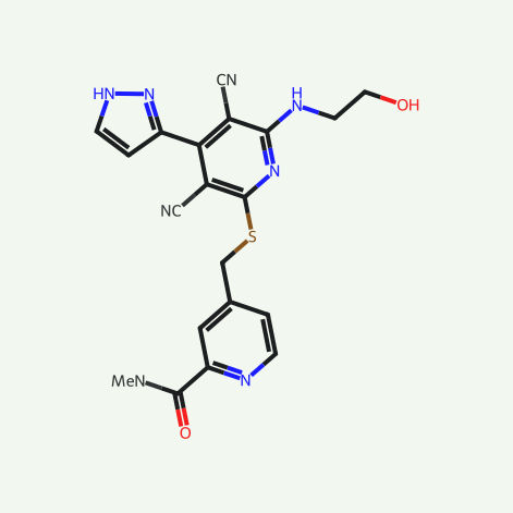 CNC(=O)c1cc(CSc2nc(NCCO)c(C#N)c(-c3cc[nH]n3)c2C#N)ccn1